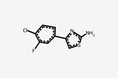 Nc1nc(-c2ccc(Cl)c(F)c2)cs1